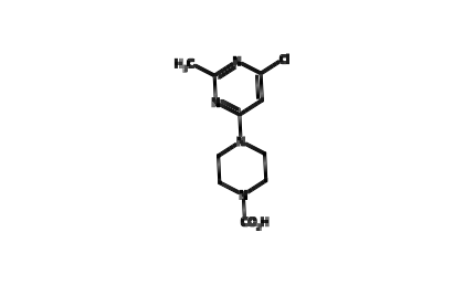 Cc1nc(Cl)cc(N2CCN(C(=O)O)CC2)n1